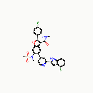 CNC(=O)c1c(-c2ccc(F)cc2)oc2cc(N(C)S(C)(=O)=O)c(-c3ccnc(-c4cc5c(F)cccc5[nH]4)c3)cc12